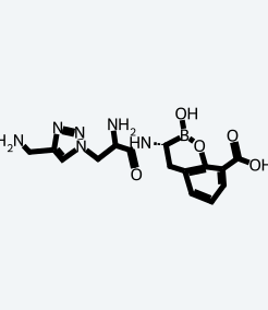 NCc1cn(CC(N)C(=O)N[C@H]2Cc3cccc(C(=O)O)c3OB2O)nn1